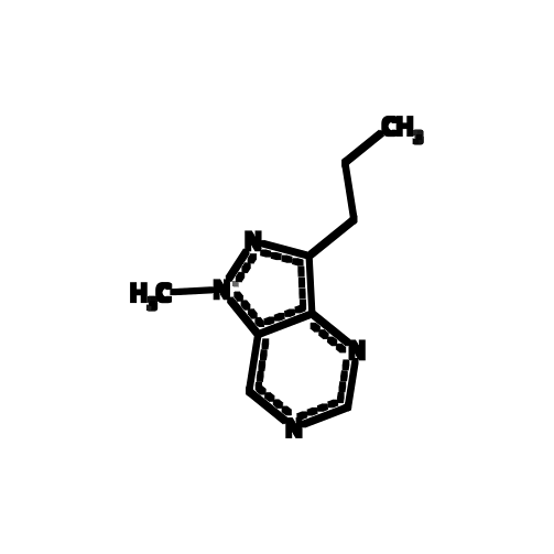 CCCc1nn(C)c2cncnc12